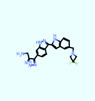 NCc1n[nH]nc1-c1ccc2c(-c3cc4cc(CN5CC(F)(F)C5)ccc4[nH]3)n[nH]c2c1